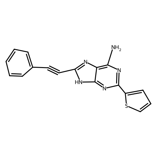 Nc1nc(-c2cccs2)nc2[nH]c(C#Cc3ccccc3)nc12